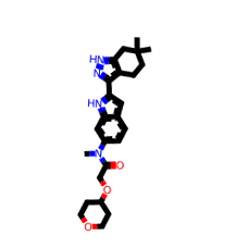 CN(C(=O)COC1CCOCC1)c1ccc2cc(-c3n[nH]c4c3CCC(C)(C)C4)[nH]c2c1